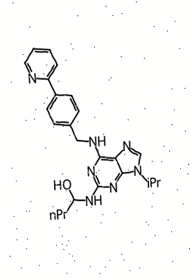 CCCC(O)Nc1nc(NCc2ccc(-c3ccccn3)cc2)c2ncn(C(C)C)c2n1